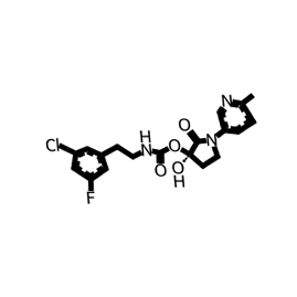 Cc1ccc(N2CC[C@@](O)(OC(=O)NCCc3cc(F)cc(Cl)c3)C2=O)cn1